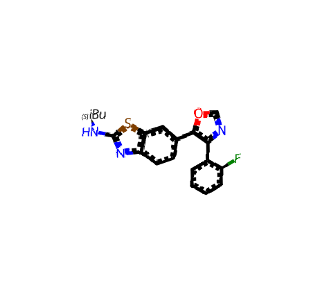 CC[C@H](C)Nc1nc2ccc(-c3ocnc3-c3ccccc3F)cc2s1